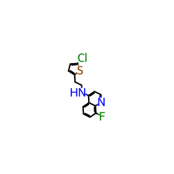 Fc1cccc2c(NCCc3ccc(Cl)s3)ccnc12